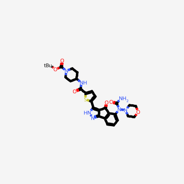 CC(C)(C)OC(=O)N1CCC(NC(=O)c2ccc(-c3[nH]nc4c3C(=O)c3c-4cccc3N(C(N)=O)N3CCOCC3)s2)CC1